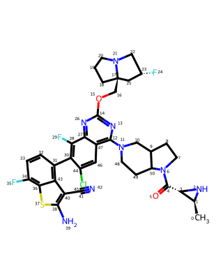 C[C@@H]1N[C@H]1C(=O)N1CCC2CN(c3nc(OC[C@@]45CCCN4C[C@H](F)C5)nc4c(F)c(-c5ccc(F)c6sc(N)c(C#N)c56)c(Cl)cc34)CCC21